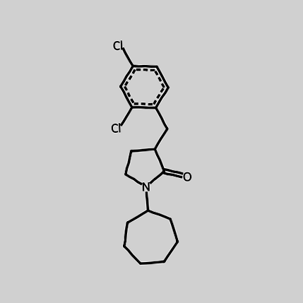 O=C1C(Cc2ccc(Cl)cc2Cl)CCN1C1CCCCCC1